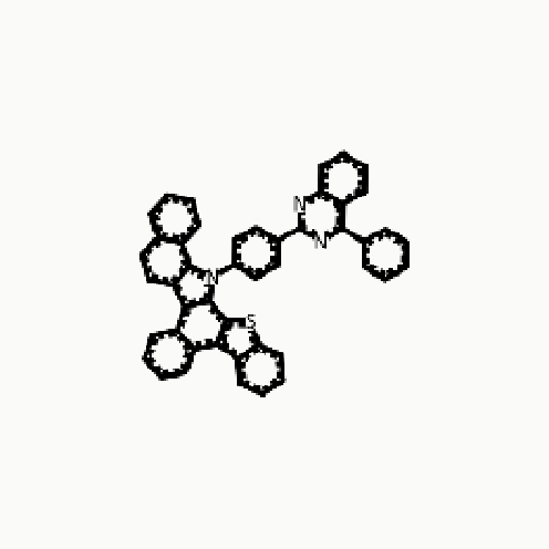 c1ccc(-c2nc(-c3ccc(-n4c5c6ccccc6ccc5c5c6ccccc6c6c7ccccc7sc6c54)cc3)nc3ccccc23)cc1